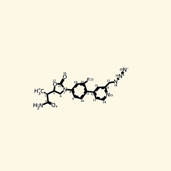 C[C@H](C(N)=O)C1CN(c2ccc(-c3ccnc(CN=[N+]=[N-])c3)c(F)c2)C(=O)O1